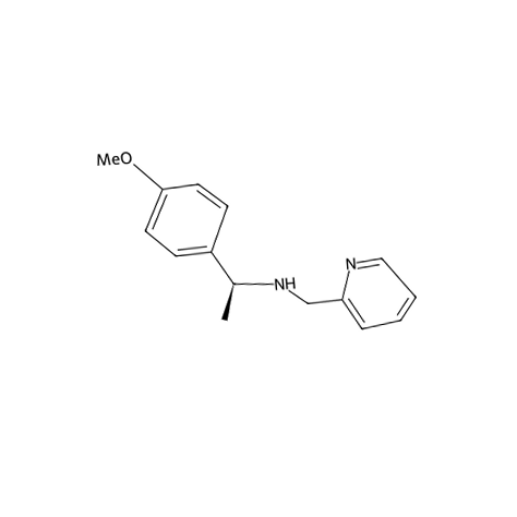 COc1ccc([C@H](C)NCc2ccccn2)cc1